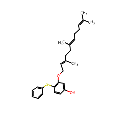 CC(C)=CCC/C=C(\C)CC/C(C)=C/COc1cc(O)ccc1Sc1ccccc1